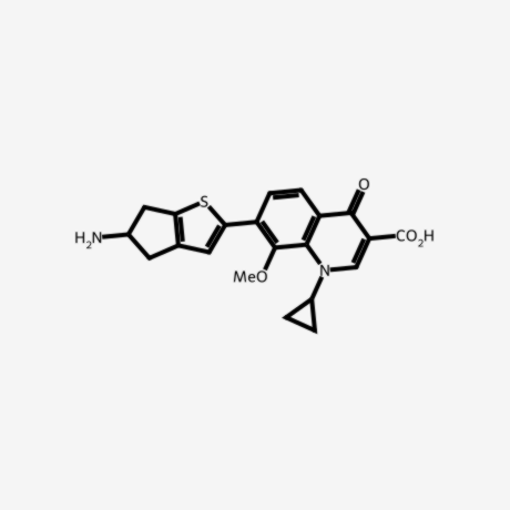 COc1c(-c2cc3c(s2)CC(N)C3)ccc2c(=O)c(C(=O)O)cn(C3CC3)c12